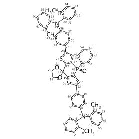 Cc1ccccc1N(c1ccc(-c2cc3c(s2)C2(OCCO2)c2sc(-c4ccc(N(c5ccccc5C)c5ccccc5C)cc4)cc2P3(=O)c2ccccc2)cc1)c1ccccc1C